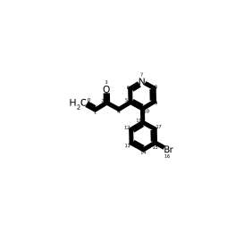 C=CC(=O)Cc1cnccc1-c1cccc(Br)c1